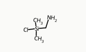 C[Si](C)(Cl)CN